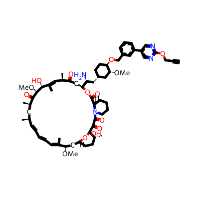 C#CCOc1ncc(-c2cccc(CO[C@@H]3CC[C@@H](C[C@@H](N)[C@@H]4CC(=O)[C@H](C)/C=C(\C)[C@@H](O)[C@@H](OC)C(=O)[C@H](C)C[C@H](C)/C=C/C=C/C=C(\C)[C@@H](OC)C[C@@H]5CC[C@@H](C)[C@@](O)(O5)C(=O)C(=O)N5CCCC[C@H]5C(=O)O4)C[C@H]3OC)c2)cn1